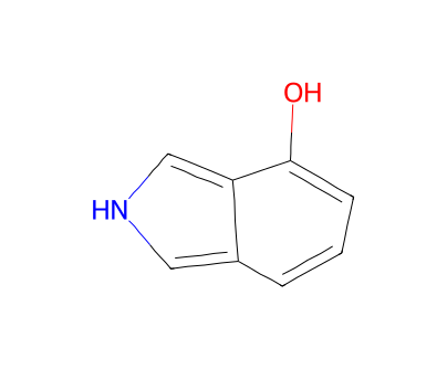 Oc1cccc2c[nH]cc12